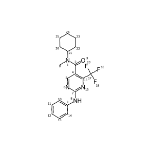 CN(C(=O)c1cnc(Nc2ccccc2)nc1C(F)(F)F)C1CCCCC1